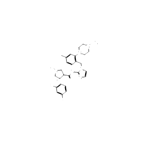 Cc1ccc(Cn2ccnc2NC(=O)C2CN(C(C)(C)C)C[C@H]2c2ccc(F)cc2F)c(N2CCN(C#N)CC2)c1